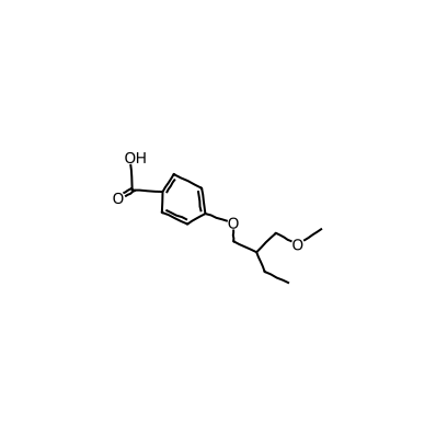 CCC(COC)COc1ccc(C(=O)O)cc1